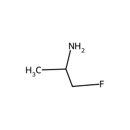 CC(N)CF